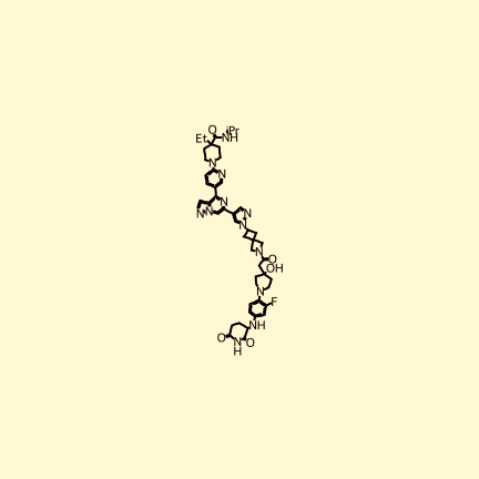 CCC1(C(=O)NC(C)C)CCN(c2ccc(-c3nc(-c4cnn(C5CC6(C5)CN(C(=O)CC5(O)CCN(c7ccc(NC8CCC(=O)NC8=O)cc7F)CC5)C6)c4)cn4nccc34)cn2)CC1